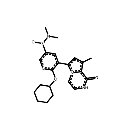 Cc1cc(-c2cc([S+]([O-])N(C)C)cnc2OC2CCCCC2)n2cc[nH]c(=O)c12